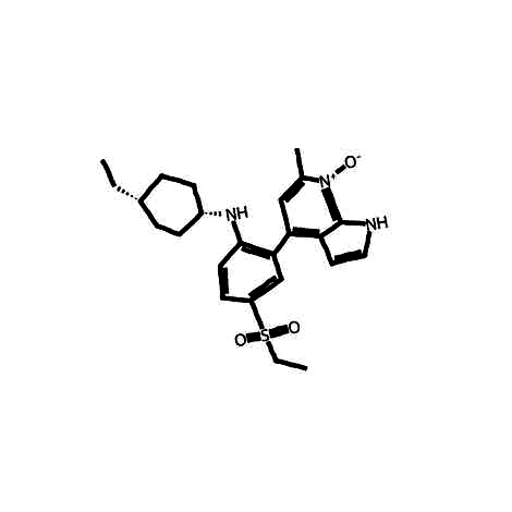 CCS(=O)(=O)c1ccc(N[C@H]2CC[C@@H](CC)CC2)c(-c2cc(C)[n+]([O-])c3[nH]ccc23)c1